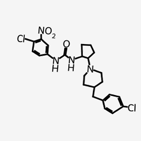 O=C(Nc1ccc(Cl)c([N+](=O)[O-])c1)NC1CCCC1N1CCC(Cc2ccc(Cl)cc2)CC1